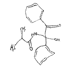 C=C(C)C(=O)NC(O)(C(=O)c1ccccc1)c1ccccc1